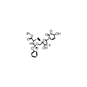 C#C[C@]1(COP(=O)(NC(C)C(=O)OC(C)C)Oc2ccccc2)O[C@@H](N2C=CC(O)NC2=O)[C@H](F)[C@@H]1O